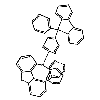 c1ccc(-c2cccc3sc4cccc(N(c5ccccc5)c5ccc(C6(c7ccccc7)c7ccccc7-c7ccccc76)cc5)c4c23)cc1